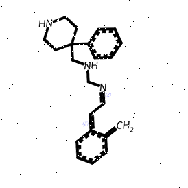 C=c1cccc/c1=C/C=N\CNCC1(c2ccccc2)CCNCC1